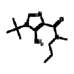 CCCN(C)C(=O)c1ncn(C(C)(C)C)c1N